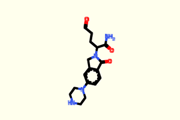 NC(=O)C(CCC=O)N1Cc2cc(N3CCNCC3)ccc2C1=O